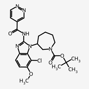 COc1ccc2nc(NC(=O)c3ccnnc3)n(C3CCCCN(C(=O)OC(C)(C)C)C3)c2c1Cl